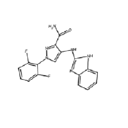 NC(=O)c1nn(-c2c(F)cccc2F)cc1Nc1nc2ccccc2[nH]1